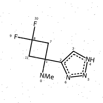 CNC1(c2c[nH]nn2)CC(F)(F)C1